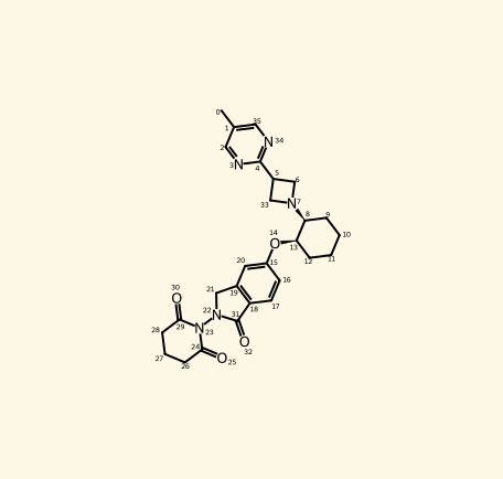 Cc1cnc(C2CN([C@H]3CCCC[C@H]3Oc3ccc4c(c3)CN(N3C(=O)CCCC3=O)C4=O)C2)nc1